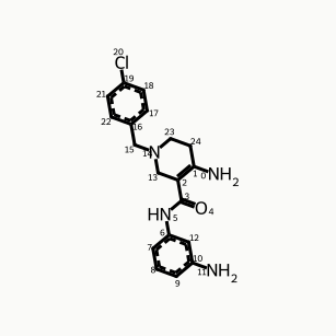 NC1=C(C(=O)Nc2cccc(N)c2)CN(Cc2ccc(Cl)cc2)CC1